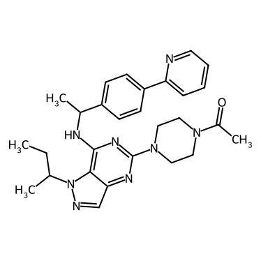 CCC(C)n1ncc2nc(N3CCN(C(C)=O)CC3)nc(NC(C)c3ccc(-c4ccccn4)cc3)c21